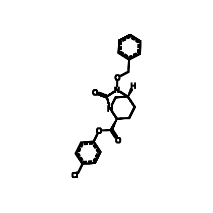 O=C(Oc1ccc(Cl)cc1)[C@@H]1CC[C@@H]2CN1C(=O)N2OCc1ccccc1